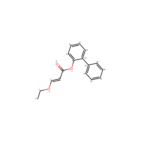 CCOC=CC(=O)Oc1ccccc1-c1ccccc1